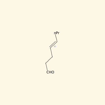 CCC/C=C/CCC=O